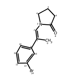 CC(=CN1CCCC1=O)c1cccc(Br)c1